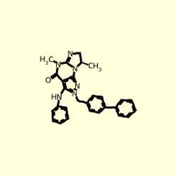 C[C@@H]1CN=C2N(C)C(=O)c3c(nn(Cc4ccc(-c5ccccc5)cc4)c3Nc3ccccc3)N21